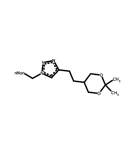 CCCCCCCCCCn1cc(CCC2COC(C)(C)OC2)nn1